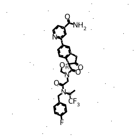 C[C@H](N(Cc1ccc(F)cc1)C(=O)CN1CO[C@]2(C(=O)Cc3cc(-c4cc(C(N)=O)ccn4)ccc32)C1=O)C(F)(F)F